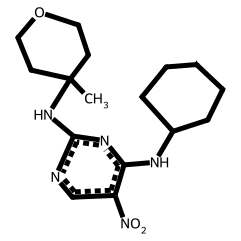 CC1(Nc2ncc([N+](=O)[O-])c(NC3CC[CH]CC3)n2)CCOCC1